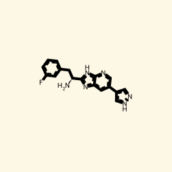 N[C@H](Cc1cccc(F)c1)c1nc2cc(-c3cn[nH]c3)cnc2[nH]1